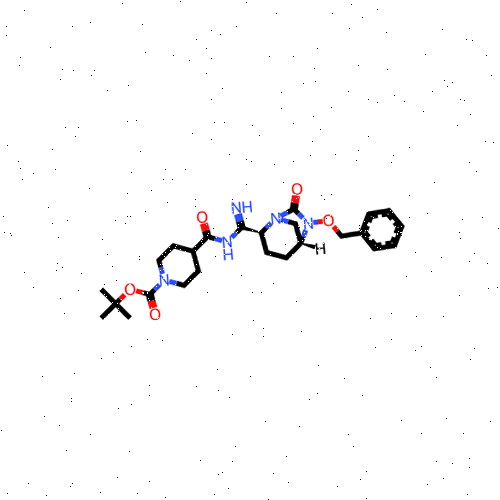 CC(C)(C)OC(=O)N1CCC(C(=O)NC(=N)[C@@H]2CC[C@@H]3CN2C(=O)N3OCc2ccccc2)CC1